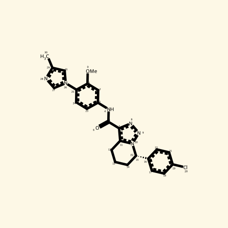 COc1cc(NC(=O)c2nnn3c2CCC[C@H]3c2ccc(Cl)cc2)ccc1-n1cnc(C)c1